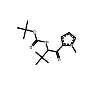 Cn1cccc1C(=O)C(NC(=O)OC(C)(C)C)C(C)(C)C